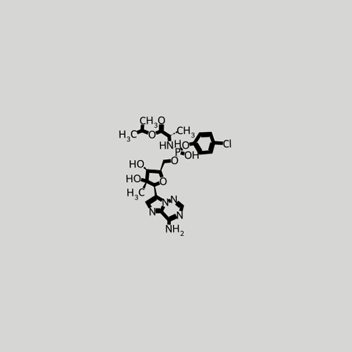 CC(C)OC(=O)[C@H](C)N[PH](O)(OC[C@H]1O[C@@H](c2cnc3c(N)ncnn23)[C@](C)(O)[C@@H]1O)Oc1ccc(Cl)cc1